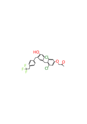 CC(=O)COc1cc(Cl)c(Cc2ccc(O)c(Cc3ccc(CC(F)(F)F)cc3)c2)c(Cl)c1